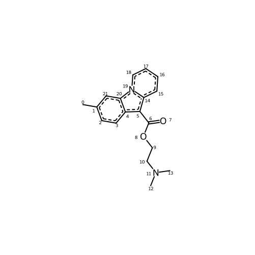 Cc1ccc2c(C(=O)OCCN(C)C)c3ccccn3c2c1